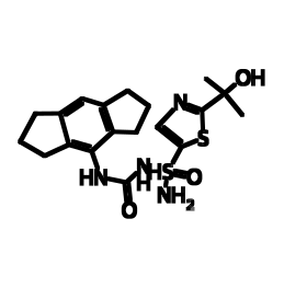 CC(C)(O)c1ncc([SH](N)(=O)NC(=O)Nc2c3c(cc4c2CCC4)CCC3)s1